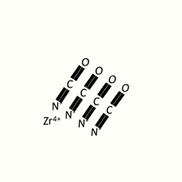 [N-]=C=O.[N-]=C=O.[N-]=C=O.[N-]=C=O.[Zr+4]